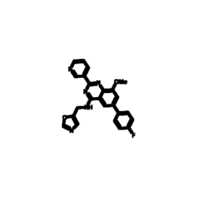 COc1cc(-c2ccc(F)cc2)cc2c(NCc3cnco3)nc(-c3cccnc3)nc12